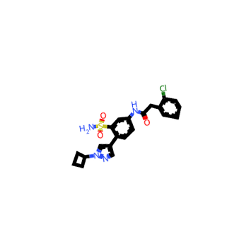 NS(=O)(=O)c1cc(NC(=O)Cc2ccccc2Cl)ccc1-c1cnn(C2CCC2)c1